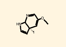 COC1=C[C@@]2(I)C=CNC2N=C1